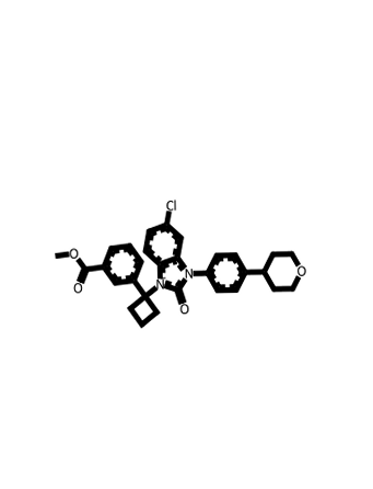 COC(=O)c1cccc(C2(n3c(=O)n(-c4ccc(C5CCOCC5)cc4)c4cc(Cl)ccc43)CCC2)c1